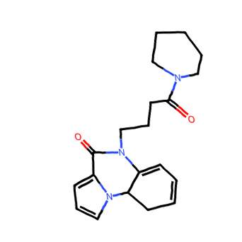 O=C(CCCN1C(=O)c2cccn2C2CC=CC=C21)N1CCCCC1